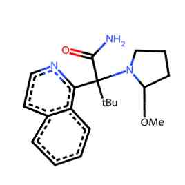 COC1CCCN1C(C(N)=O)(c1nccc2ccccc12)C(C)(C)C